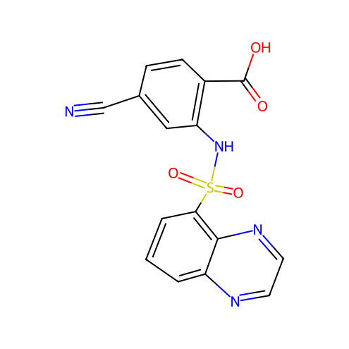 N#Cc1ccc(C(=O)O)c(NS(=O)(=O)c2cccc3nccnc23)c1